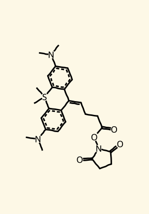 CN(C)c1ccc2c(c1)S(C)(C)c1cc(N(C)C)ccc1C2=CCCC(=O)ON1C(=O)CCC1=O